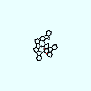 c1ccc(-n2c3ccccc3c3ccc4c5ccccc5n(-c5nc6c7ccccc7c7ccccc7c6nc5-c5cccc6c5oc5ccccc56)c4c32)cc1